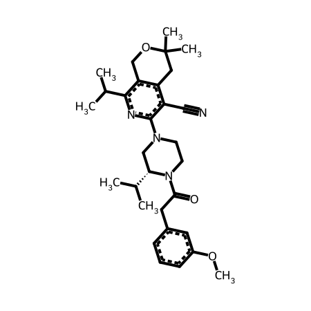 COc1cccc(CC(=O)N2CCN(c3nc(C(C)C)c4c(c3C#N)CC(C)(C)OC4)C[C@H]2C(C)C)c1